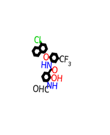 O=CNc1cccc(C(=O)Nc2cc(C(F)(F)F)ccc2Oc2ccc(Cl)c3ccccc23)c1O